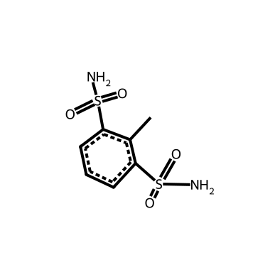 Cc1c(S(N)(=O)=O)cccc1S(N)(=O)=O